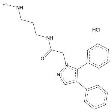 CCNCCCNC(=O)Cn1ncc(-c2ccccc2)c1-c1ccccc1.Cl